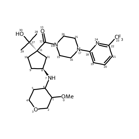 COC1COCCC1N[C@H]1CC[C@](C(=O)N2CCN(c3cccc(C(F)(F)F)n3)CC2)(C(C)(C)O)C1